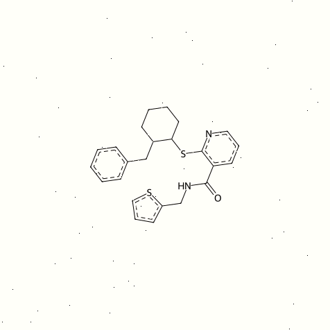 O=C(NCc1cccs1)c1cccnc1SC1CCCCC1Cc1ccccc1